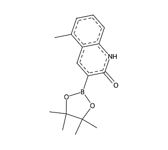 Cc1cccc2[nH]c(=O)c(B3OC(C)(C)C(C)(C)O3)cc12